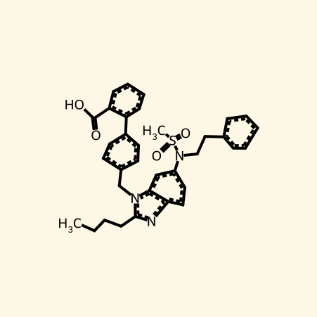 CCCCc1nc2ccc(N(CCc3ccccc3)S(C)(=O)=O)cc2n1Cc1ccc(-c2ccccc2C(=O)O)cc1